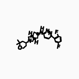 CC1(C)CC(N2C[C@H]3C[C@H](Nc4ccc(-c5cc(F)ccc5F)nn4)C[C@H]3C2)CCO1